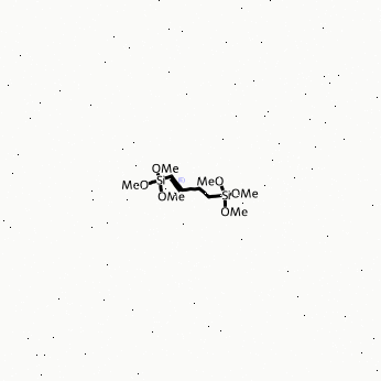 CO[Si](/C=C/CC[Si](OC)(OC)OC)(OC)OC